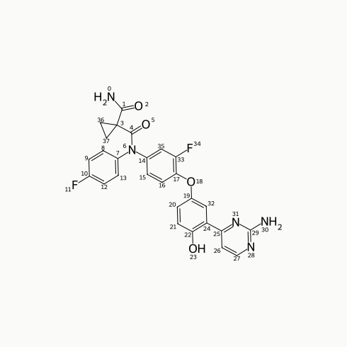 NC(=O)C1(C(=O)N(c2ccc(F)cc2)c2ccc(Oc3ccc(O)c(-c4ccnc(N)n4)c3)c(F)c2)CC1